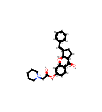 O=C(CN1CCCCC1)Oc1ccc2c(=O)c3c(oc2c1)/C(=C/c1ccccc1)CC3